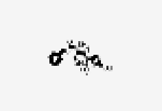 CCCCc1ncc(NC(=O)[C@@H](CS)N(C)C(=O)OCc2ccccc2)n1C